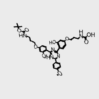 COc1ccc(-c2nc(-c3ccc(OCCCNC(=O)O)cc3O)nc(-c3ccc(OCCCNC(=O)OC(C)(C)C)cc3O)n2)cc1